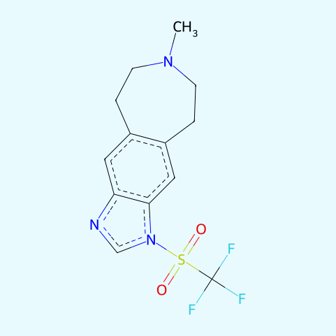 CN1CCc2cc3ncn(S(=O)(=O)C(F)(F)F)c3cc2CC1